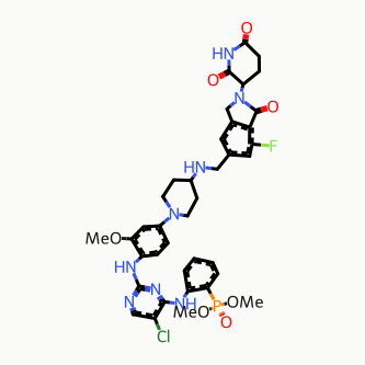 COc1cc(N2CCC(NCc3cc(F)c4c(c3)CN(C3CCC(=O)NC3=O)C4=O)CC2)ccc1Nc1ncc(Cl)c(Nc2ccccc2P(=O)(OC)OC)n1